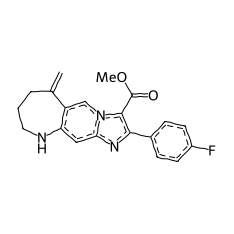 C=C1CCCNc2cc3nc(-c4ccc(F)cc4)c(C(=O)OC)n3cc21